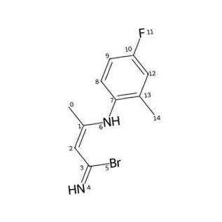 C/C(=C/C(=N)Br)Nc1ccc(F)cc1C